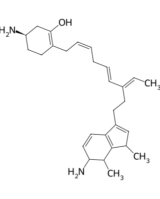 C/C=C(/C=C/C/C=C\CC1=C(O)C[C@H](N)CC1)CCC1=CC(C)C2=C1C=CC(N)C2C